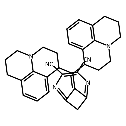 N#CC1=C(C#N)N=C2CC(=N1)C2=C(C1CCN2CCCc3cccc1c32)C1CCN2CCCc3cccc1c32